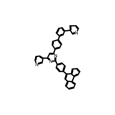 c1cncc(-c2cccc(-c3ccc(-c4cc(-c5cccnc5)nc(-c5ccc(-c6cc7ccccc7c7ccccc67)cc5)n4)cc3)c2)c1